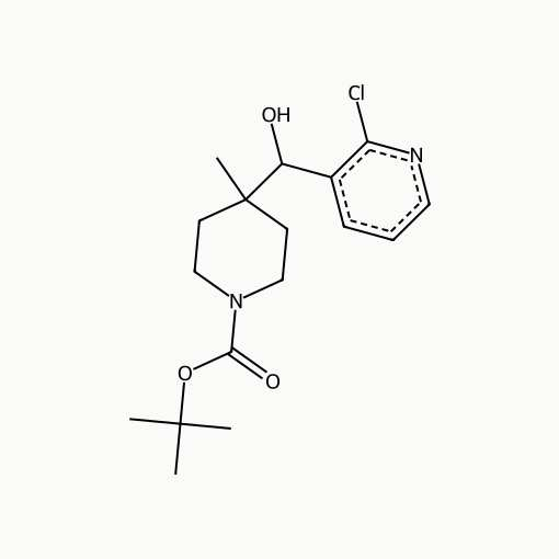 CC(C)(C)OC(=O)N1CCC(C)(C(O)c2cccnc2Cl)CC1